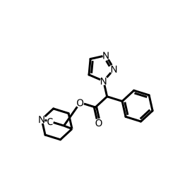 O=C(OC1CN2CCC1CC2)C(c1ccccc1)n1ccnn1